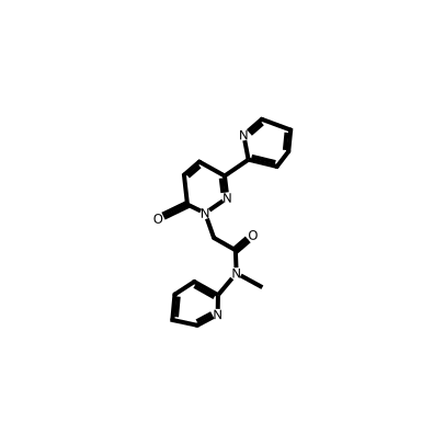 CN(C(=O)Cn1nc(-c2ccccn2)ccc1=O)c1ccccn1